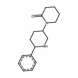 O=C1CCCCN1C1CCC(c2ccccc2)NC1